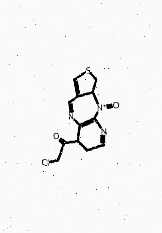 O=C(CCl)C1CC=NC2=C1N=CC1=CSCC1[N+]2=O